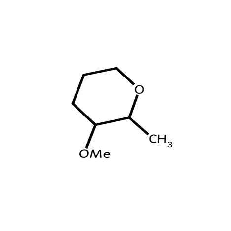 COC1CCCOC1C